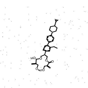 C=C(CO)C(=O)OCC(COC(O)C(=C)COC)c1ccc(-c2ccc(C3CCC(C4CC4)CC3)cc2)c(CC)c1